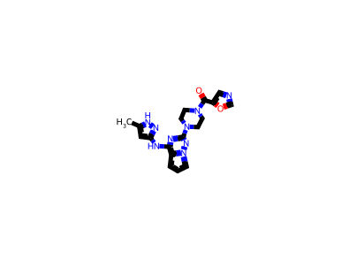 Cc1cc(Nc2nc(N3CCN(C(=O)c4cnco4)CC3)nn3cccc23)n[nH]1